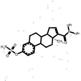 CCCN(CCC)C(=O)C1=CCC2C3CCc4cc(OS(N)(=O)=O)ccc4C3CC[C@]12C